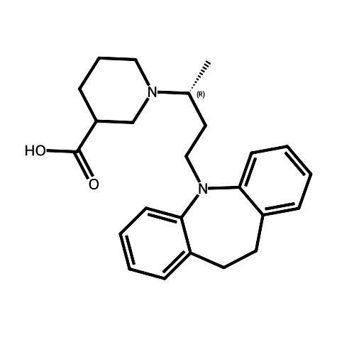 C[C@H](CCN1c2ccccc2CCc2ccccc21)N1CCCC(C(=O)O)C1